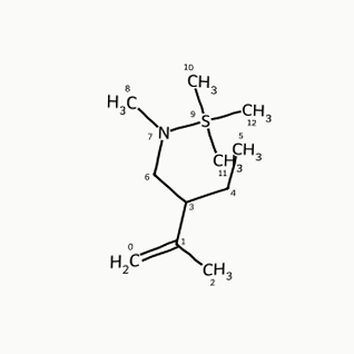 C=C(C)C(CC)CN(C)S(C)(C)C